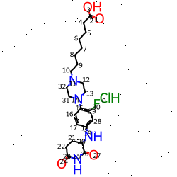 Cl.O=C(O)CCCCCCCN1CCN(c2ccc(NC3CCC(=O)NC3=O)cc2F)CC1